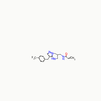 C=CC(=O)NCC1CNc2c(Cc3ccc(C(F)(F)F)cc3)cnn2C1